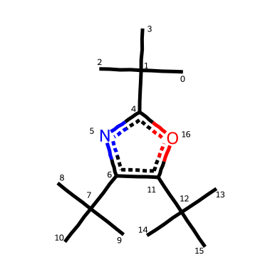 CC(C)(C)c1nc(C(C)(C)C)c(C(C)(C)C)o1